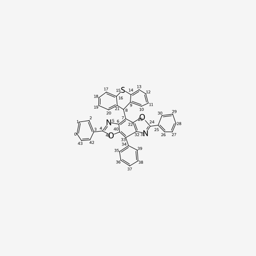 c1ccc(-c2nc3c(C4c5ccccc5Sc5ccccc54)c4oc(-c5ccccc5)nc4c(-c4ccccc4)c3o2)cc1